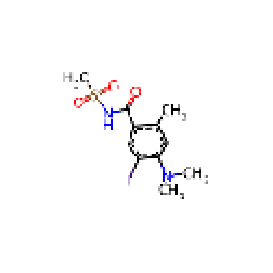 Cc1cc(N(C)C)c(I)cc1C(=O)NS(C)(=O)=O